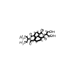 CCC(CC)N1C(=O)c2ccc3c4c(ccc(c24)C1=O)C(=O)N(C(CO)CO)C3=O